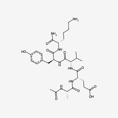 CC(=O)N[C@@H](C)C(=O)N[C@@H](CCC(=O)O)C(=O)N[C@H](C(=O)N[C@@H](Cc1ccc(O)cc1)C(=O)N[C@@H](CCCCN)C(N)=O)C(C)C